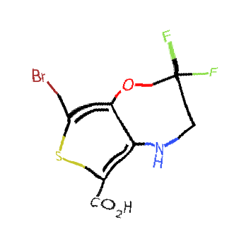 O=C(O)c1sc(Br)c2c1NCC(F)(F)O2